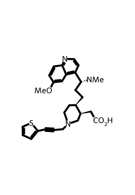 CN[C@H](CC[C@@H]1CCN(CC#Cc2cccs2)C[C@@H]1CC(=O)O)c1ccnc2ccc(OC)cc12